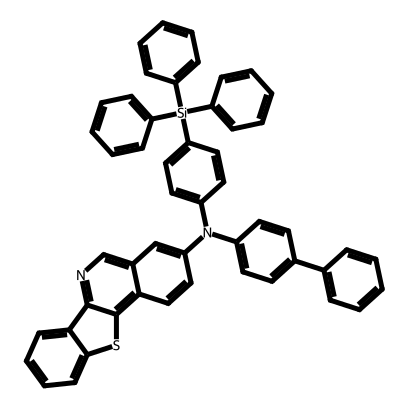 c1ccc(-c2ccc(N(c3ccc([Si](c4ccccc4)(c4ccccc4)c4ccccc4)cc3)c3ccc4c(cnc5c6ccccc6sc45)c3)cc2)cc1